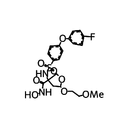 COCCOC1CC(NS(=O)(=O)c2ccc(Oc3ccc(F)cc3)cc2)(C(=O)NO)CO1